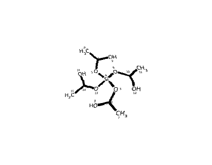 CC(O)O[Si](OC(C)O)(OC(C)O)OC(C)O